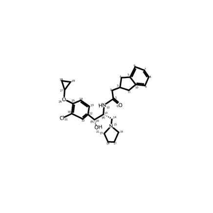 O=C(CC1Cc2ccccc2C1)N[C@H](CN1CCCC1)[C@H](O)c1ccc(OC2CC2)c(Cl)c1